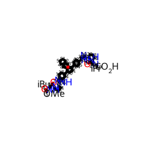 CCC(C)[C@H](NC(=O)OC)C(=O)N1CCC[C@H]1c1nc2ccc(-c3ccc(-c4ccc(-c5cnc([C@@H]6CCCN6C(=O)[C@@H](NC(=O)O)C(C)C)[nH]5)cc4)c4c3CC3(CCCC3)C4)cc2[nH]1